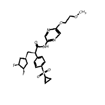 COCCOc1cnc(NC(=O)[C@H](C[C@H]2C[C@@H](F)[C@@H](F)C2)c2ccc(S(=O)(=O)C3CC3)cc2)cn1